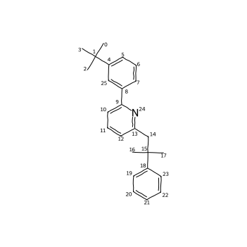 CC(C)(C)c1cccc(-c2cccc(CC(C)(C)c3ccccc3)n2)c1